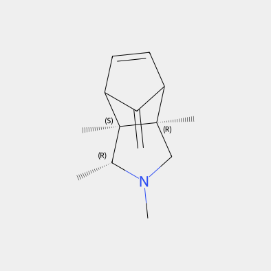 C=C1C2C=CC1[C@]1(C)[C@@H](C)N(C)C[C@]21C